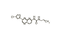 C=CCNC(=O)Nc1ccc2ncc(-c3cc(Cl)cs3)nc2n1